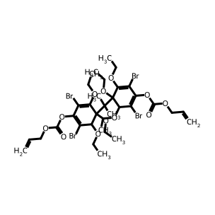 C=CCOC(=O)OC1=C(Br)C(OCC)C(OCC)(C(C)(C)C2(OCC)C(OCC)=C(Br)C(OC(=O)OCC=C)=C(Br)C2OCC)C(OCC)=C1Br